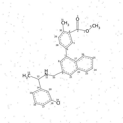 COC(=O)c1cc(-c2cc(CNC(C)c3cccc(Cl)c3)cc3ccccc23)ccc1C